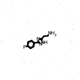 NCCc1nc(-c2ccc(F)cc2)n[nH]1